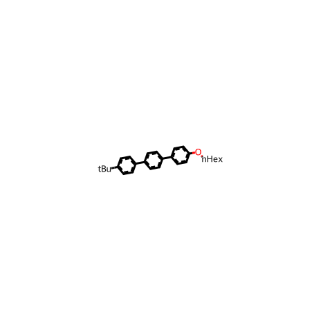 CCCCCCOc1ccc(-c2ccc(-c3ccc(C(C)(C)C)cc3)cc2)cc1